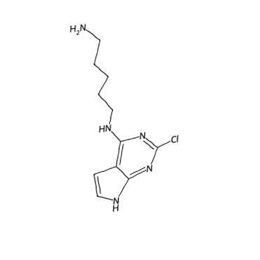 NCCCCCNc1nc(Cl)nc2[nH]ccc12